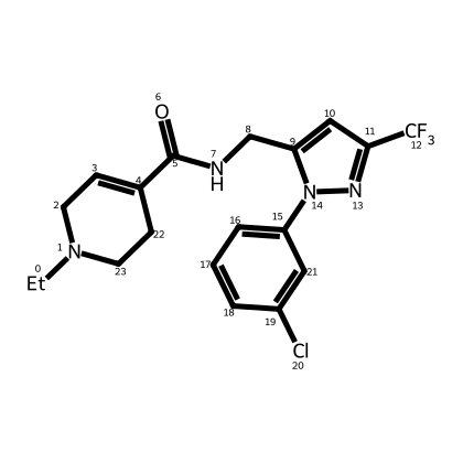 CCN1CC=C(C(=O)NCc2cc(C(F)(F)F)nn2-c2cccc(Cl)c2)CC1